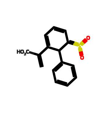 C=C(C(=O)O)C1=CC=CC(=S(=O)=O)C1c1ccccc1